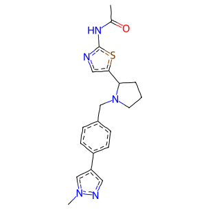 CC(=O)Nc1ncc(C2CCCN2Cc2ccc(-c3cnn(C)c3)cc2)s1